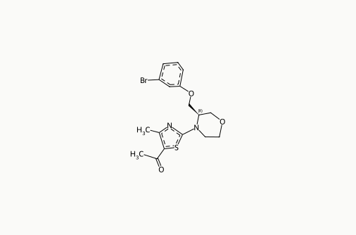 CC(=O)c1sc(N2CCOC[C@@H]2COc2cccc(Br)c2)nc1C